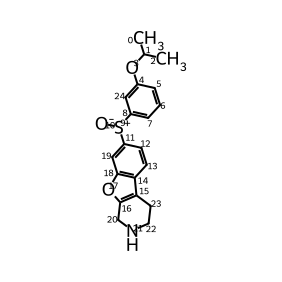 CC(C)Oc1cccc([S+]([O-])c2ccc3c4c(oc3c2)CNCC4)c1